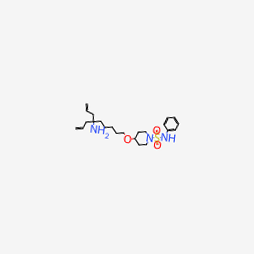 C=CCC(N)(CC=C)CCCCCOC1CCN(S(=O)(=O)Nc2ccccc2)CC1